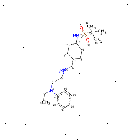 CCN(CCNCC1CCC(NS(=O)(=O)C(C)(C)C)CC1)c1ccccc1